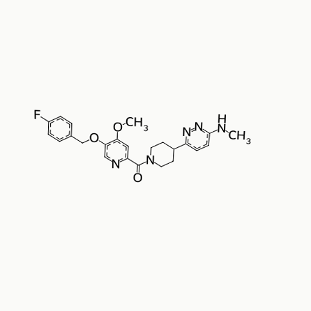 CNc1ccc(C2CCN(C(=O)c3cc(OC)c(OCc4ccc(F)cc4)cn3)CC2)nn1